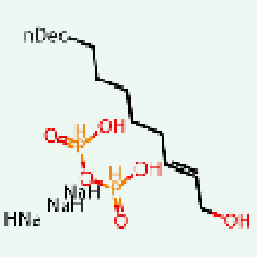 CCCCCCCCCCCCCCCC=CCO.O=[PH](O)O[PH](=O)O.[NaH].[NaH].[NaH]